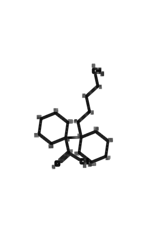 CCCCCC1(C2(C(C)=O)CCCCC2)CCCCC1